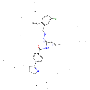 C/C=C/C(=N\NCc1cc(Cl)ccc1OCC(C)C)NC(=O)c1ccc(C2=NCCC2)cc1